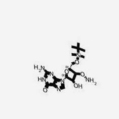 CC(C)(C)[Si](C)(C)OC[C@H]1O[C@@H](n2cnc3c(=O)[nH]c(N)nc32)C(O)C1ON